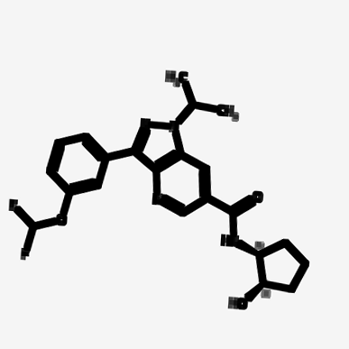 CC(C)n1nc(-c2cccc(OC(F)F)c2)c2ncc(C(=O)N[C@H]3CCC[C@H]3O)cc21